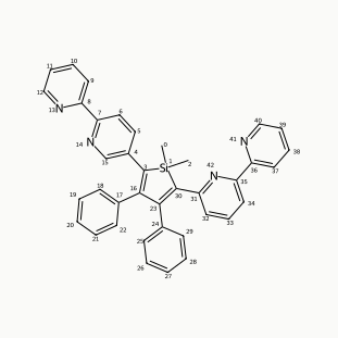 C[Si]1(C)C(c2ccc(-c3ccccn3)nc2)=C(c2ccccc2)C(c2ccccc2)=C1c1cccc(-c2ccccn2)n1